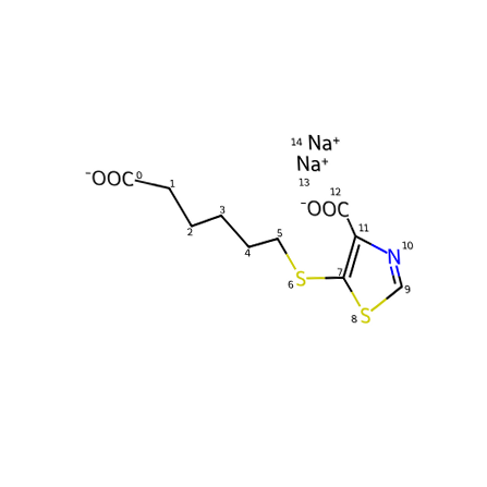 O=C([O-])CCCCCSc1scnc1C(=O)[O-].[Na+].[Na+]